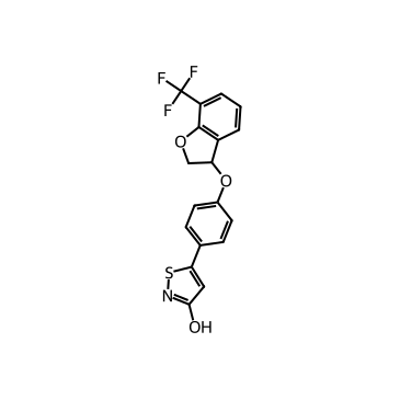 Oc1cc(-c2ccc(OC3COc4c3cccc4C(F)(F)F)cc2)sn1